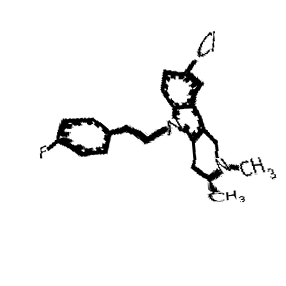 C[C@H]1Cc2c(c3cc(Cl)ccc3n2CCc2ccc(F)cc2)CN1C